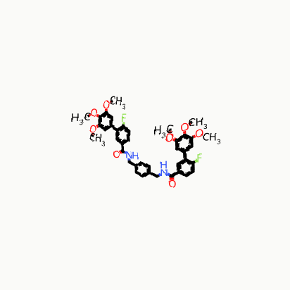 COc1cc(-c2cc(C(=O)NCc3ccc(CNC(=O)c4ccc(F)c(-c5cc(OC)c(OC)c(OC)c5)c4)cc3)ccc2F)cc(OC)c1OC